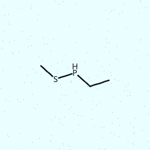 CCPSC